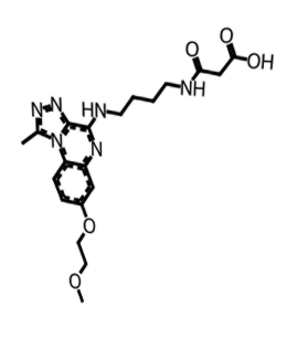 COCCOc1ccc2c(c1)nc(NCCCCNC(=O)CC(=O)O)c1nnc(C)n12